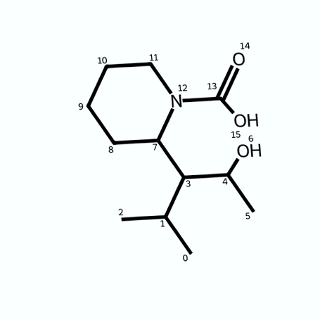 CC(C)C(C(C)O)C1CCCCN1C(=O)O